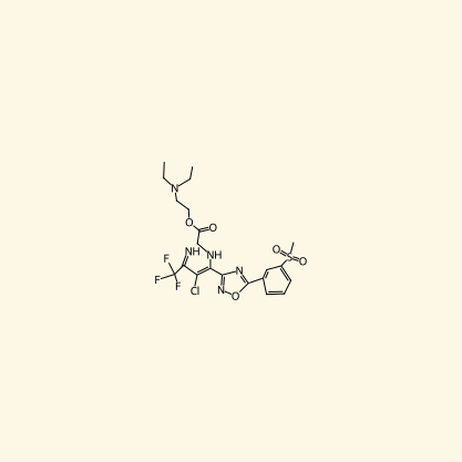 CCN(CC)CCOC(=O)CN/C(=C(/Cl)C(=N)C(F)(F)F)c1noc(-c2cccc(S(C)(=O)=O)c2)n1